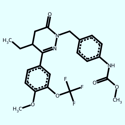 CCC1CC(=O)N(Cc2ccc(NC(=O)OC)cc2)N=C1c1ccc(OC)c(OC(F)(F)F)c1